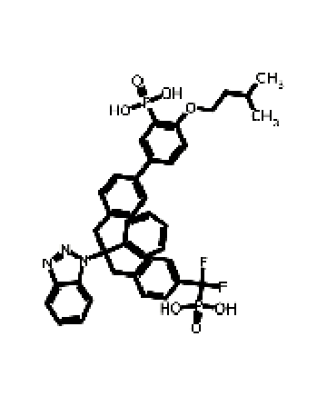 CC(C)CCOc1ccc(-c2ccc(CC(Cc3ccc(C(F)(F)P(=O)(O)O)cc3)(c3ccccc3)n3nnc4ccccc43)cc2)cc1P(=O)(O)O